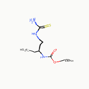 CC(C)(C)OC(=O)NC(CNC(N)=S)C(=O)O